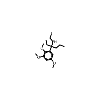 CCCC(CC)(PCI)c1cc(OC)cc(OC)c1OC